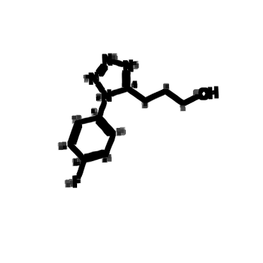 OCCCc1nnnn1-c1ccc(F)cc1